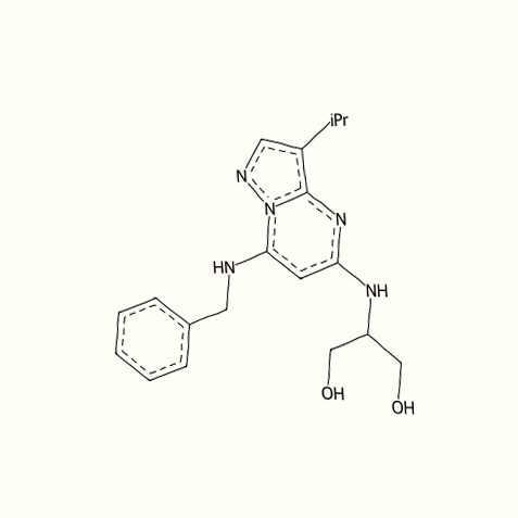 CC(C)c1cnn2c(NCc3ccccc3)cc(NC(CO)CO)nc12